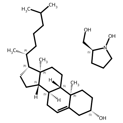 CC(C)CCC[C@@H](C)[C@H]1CC[C@H]2[C@@H]3CC=C4C[C@@H](O)CC[C@]4(C)[C@H]3CC[C@]12C.OC[C@@H]1CCCN1O